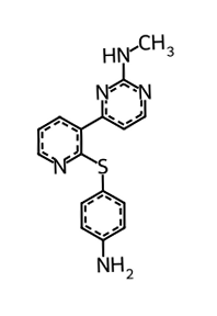 CNc1nccc(-c2cccnc2Sc2ccc(N)cc2)n1